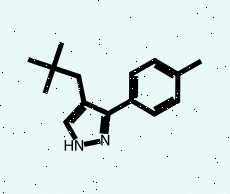 Cc1ccc(-c2n[nH]cc2CC(C)(C)C)cc1